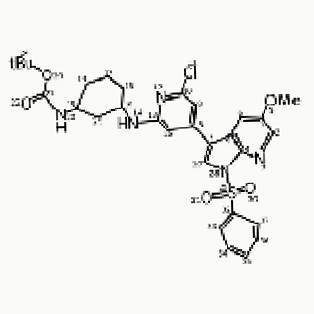 COc1cnc2c(c1)c(-c1cc(Cl)nc(NC3CCCC(NC(=O)OC(C)(C)C)C3)c1)cn2S(=O)(=O)c1ccccc1